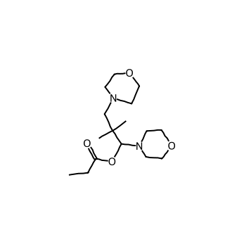 CCC(=O)OC(N1CCOCC1)C(C)(C)CN1CCOCC1